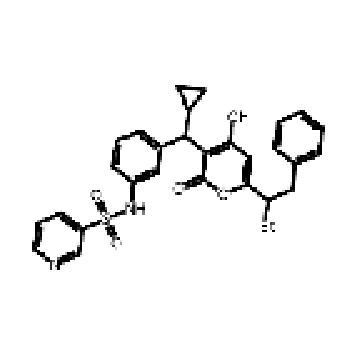 CCC(Cc1ccccc1)c1cc(O)c(C(c2cccc(NS(=O)(=O)c3cccnc3)c2)C2CC2)c(=O)o1